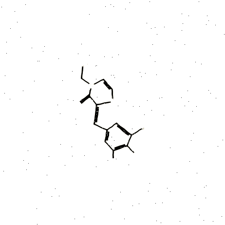 CC(=O)Oc1c(C(C)C)cc(C=C2SC=CN(CC#N)C2=O)cc1C(C)C